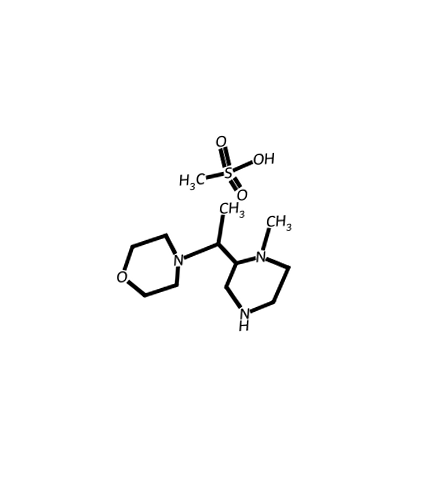 CC(C1CNCCN1C)N1CCOCC1.CS(=O)(=O)O